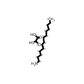 CC(O)C(=O)O.CCCCCCCCCCCCCCN